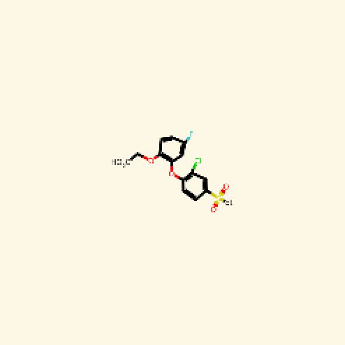 CCS(=O)(=O)c1ccc(Oc2cc(F)ccc2OCC(=O)O)c(Cl)c1